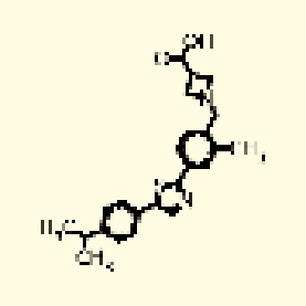 Cc1cc(-c2ncc(-c3ccc(C(C)C)cc3)s2)ccc1CN1CC(C(=O)O)C1